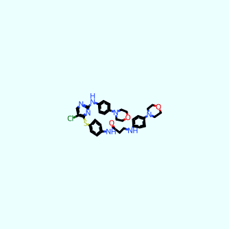 O=C(CCNc1ccc(N2CCOCC2)cc1)Nc1ccc(Sc2nc(Nc3ccc(N4CCOCC4)cc3)ncc2Cl)cc1